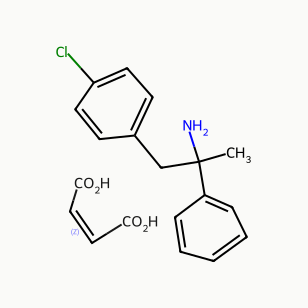 CC(N)(Cc1ccc(Cl)cc1)c1ccccc1.O=C(O)/C=C\C(=O)O